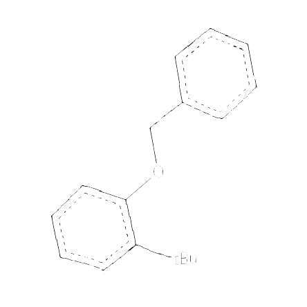 CC(C)(C)c1[c]cccc1OCc1ccccc1